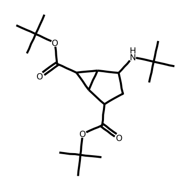 CC(C)(C)NC1CC(C(=O)OC(C)(C)C)C2C(C(=O)OC(C)(C)C)C12